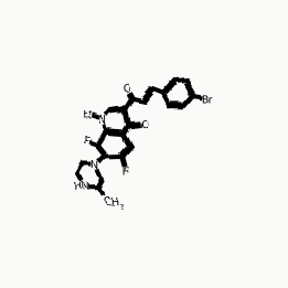 CCn1cc(C(=O)C=Cc2ccc(Br)cc2)c(=O)c2cc(F)c(N3CCNC(C)C3)c(F)c21